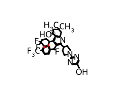 CC1(C)Cc2nc(C3CCN(c4ncc(CO)cn4)CC3)c(C(F)c3ccc(C(F)(F)F)cc3)c(C3CCC(F)(F)CC3)c2[C@@H](O)C1